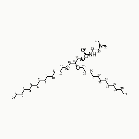 CCCCCCCCCCCCCCOCC(COC(=O)NCCN(C)C)OCCCCCCCCCCCC